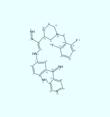 N=N/C(=C\Nc1ccc(N)c(C(=N)c2ccncc2)c1)C1CN(Cc2c(F)cccc2F)CCO1